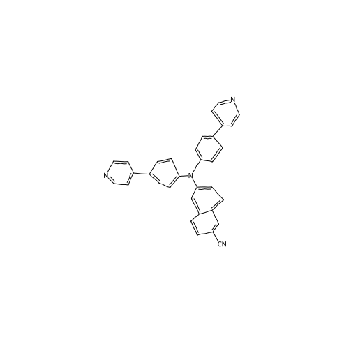 N#Cc1ccc2cc(N(c3ccc(-c4ccncc4)cc3)c3ccc(-c4ccncc4)cc3)ccc2c1